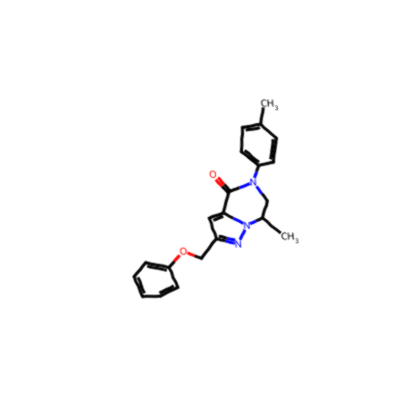 Cc1ccc(N2CC(C)n3nc(COc4ccccc4)cc3C2=O)cc1